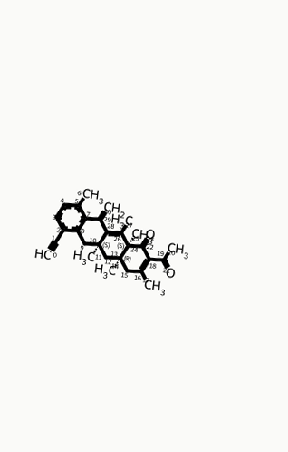 C#Cc1ccc(C)c2c1C[C@]1(C)C[C@]3(C)CC(C)=C(C(C)=O)C(=O)[C@]3(C)C(C)=C1C2=C